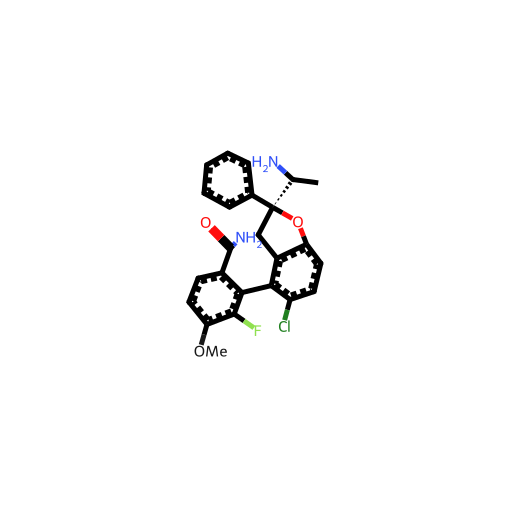 COc1ccc(C(N)=O)c(-c2c(Cl)ccc3c2C[C@](c2ccccc2)(C(C)N)O3)c1F